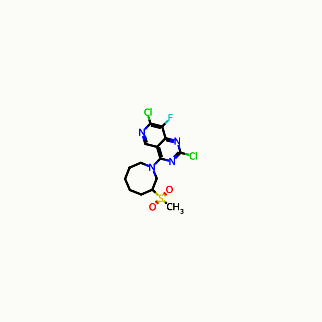 CS(=O)(=O)C1CCCCCN(c2nc(Cl)nc3c(F)c(Cl)ncc23)C1